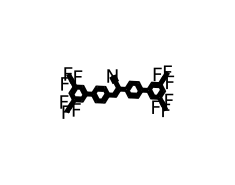 N#C/C(=C\c1ccc(-c2cc(C(F)(F)F)cc(C(F)(F)F)c2)cc1)c1ccc(-c2cc(C(F)(F)F)cc(C(F)(F)F)c2)cc1